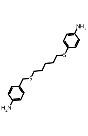 Nc1ccc(CSCCCCCSc2ccc(N)cc2)cc1